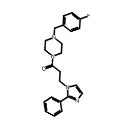 O=C(CCn1ccnc1-c1ccccc1)N1CCN(Cc2ccc(F)cc2)CC1